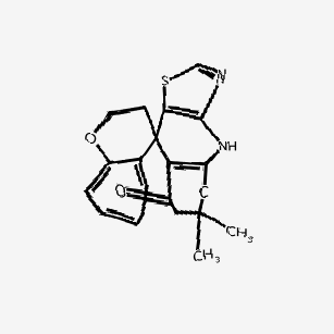 CC1(C)CC(=O)C2=C(C1)Nc1ncsc1C21CCOc2ccccc21